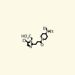 CCN(CC)C1CCN(C(=O)CCc2ncc(Cl)n2CC(=O)O)CC1